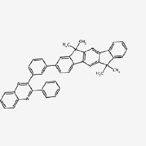 CC1(C)c2ccccc2-c2cc3c(cc21)-c1ccc(-c2cccc(-c4nc5ccccc5nc4-c4ccccc4)c2)cc1C3(C)C